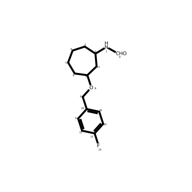 O=CNC1CCCCC(OCc2ccc(F)cc2)C1